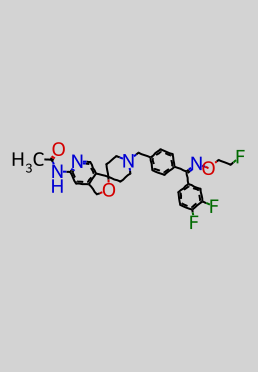 CC(=O)Nc1cc2c(cn1)C1(CCN(Cc3ccc(/C(=N/OCCF)c4ccc(F)c(F)c4)cc3)CC1)OC2